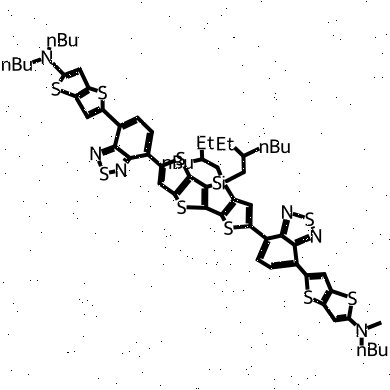 CCCCC(CC)C[Si]1(CC(CC)CCCC)c2cc(-c3ccc(-c4cc5sc(N(C)CCCC)cc5s4)c4nsnc34)sc2-c2sc3cc(-c4ccc(-c5cc6sc(N(CCCC)CCCC)cc6s5)c5nsnc45)sc3c21